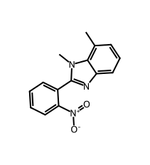 Cc1cccc2nc(-c3ccccc3[N+](=O)[O-])n(C)c12